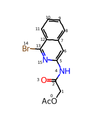 CC(=O)OCC(=O)Nc1cc2ccccc2c(Br)n1